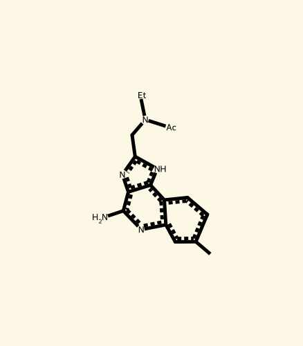 CCN(Cc1nc2c(N)nc3cc(C)ccc3c2[nH]1)C(C)=O